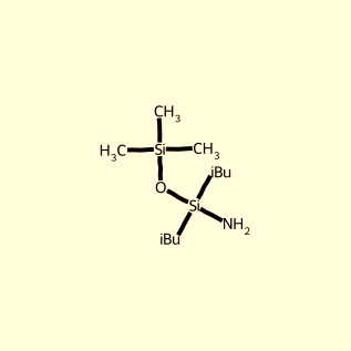 CCC(C)[Si](N)(O[Si](C)(C)C)C(C)CC